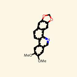 COc1cc2cnc3c4cc5c(cc4ccc3c2cc1OC)OCO5